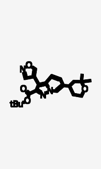 CC(C)(C)OC(=O)c1nn2cc(C3CCOC(C)(C)C3)ccc2c1-c1cnoc1